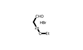 Br.CC[O][Zn][CH2]C=O